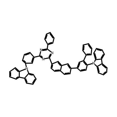 c1ccc(-c2nc(-c3cccc(-n4c5ccccc5c5ccccc54)c3)nc(-c3ccc4ccc(-c5ccc(-n6c7ccccc7c7ccccc76)c(-c6ccccc6)c5)cc4c3)n2)cc1